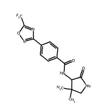 CC1(C)CNC(=O)C1NC(=O)c1ccc(-c2noc(C(F)(F)F)n2)cc1